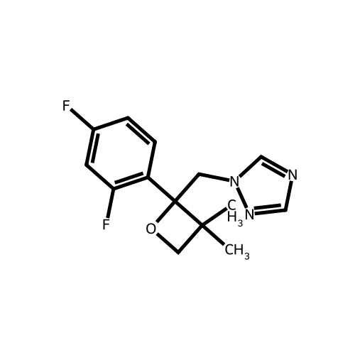 CC1(C)COC1(Cn1cncn1)c1ccc(F)cc1F